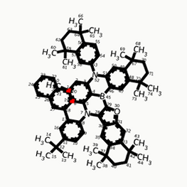 Cc1cc2c3c(c1)N(c1ccc(C(C)(C)C)cc1-c1ccc4ccccc4c1)c1c(oc4cc5c(cc14)C(C)(C)CCC5(C)C)B3c1cc3c(cc1N2c1ccc2c(c1)C(C)(C)CCC2(C)C)C(C)(C)CCC3(C)C